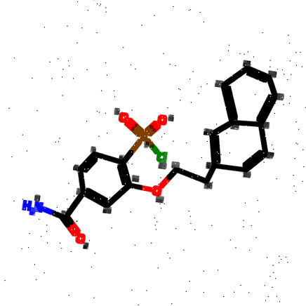 NC(=O)c1ccc(S(=O)(=O)Cl)c(OCCc2ccc3ccccc3c2)c1